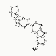 Nc1cc2c(cn1)[nH]c1ncc(-c3ccc(CN4C5CCC4CC(O)C5)cc3)cc12